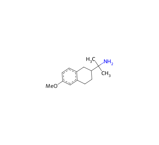 COc1ccc2c(c1)CCC(C(C)(C)N)C2